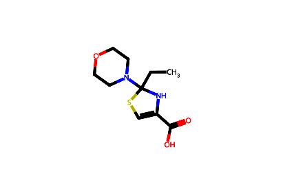 CCC1(N2CCOCC2)NC(C(=O)O)=CS1